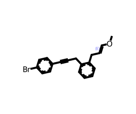 CO/C=C/Cc1ccccc1CC#Cc1ccc(Br)cc1